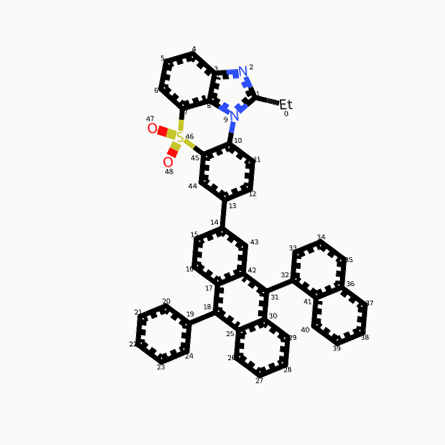 CCc1nc2cccc3c2n1-c1ccc(-c2ccc4c(-c5ccccc5)c5ccccc5c(-c5cccc6ccccc56)c4c2)cc1S3(=O)=O